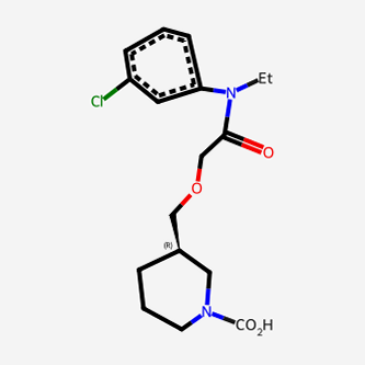 CCN(C(=O)COC[C@@H]1CCCN(C(=O)O)C1)c1cccc(Cl)c1